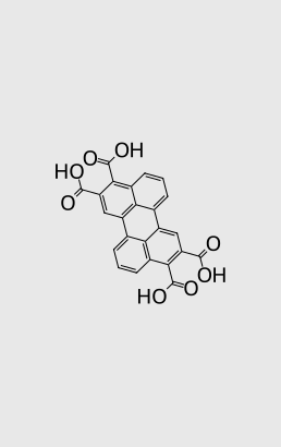 O=C(O)c1cc2c3cccc4c(C(=O)O)c(C(=O)O)cc(c5cccc(c1C(=O)O)c52)c43